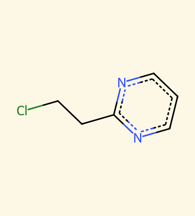 ClCCc1ncccn1